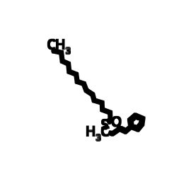 CCCCCCCCCCCCCCCC(=S)OC(=Cc1ccccc1)CC